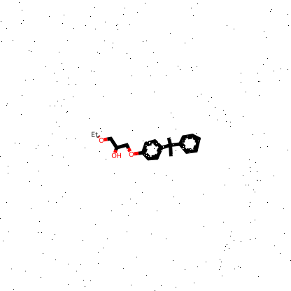 CCOCC(O)COc1ccc(C(C)(C)c2ccccc2)cc1